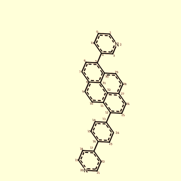 c1cncc(-c2ccc3ccc4c(-c5ccc(-c6ccncc6)cc5)ccc5ccc2c3c54)c1